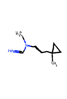 CN(C=N)CCC1(C)CC1